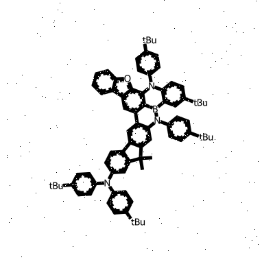 CC(C)(C)c1ccc(N2B3c4cc(C(C)(C)C)ccc4N(c4ccc(C(C)(C)C)cc4)c4c3c(cc3c4oc4ccccc43)-c3cc4c(cc32)C(C)(C)c2cc(N(c3ccc(C(C)(C)C)cc3)c3ccc(C(C)(C)C)cc3)ccc2-4)cc1